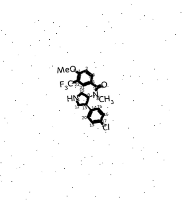 COc1ccc(C(=O)N(C)[C@H]2CNC[C@@H]2c2ccc(Cl)cc2)cc1C(F)(F)F